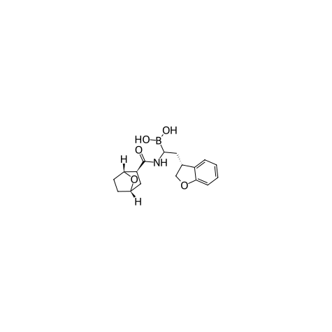 O=C(NC(C[C@H]1COc2ccccc21)B(O)O)[C@H]1C[C@@H]2CC[C@H]1O2